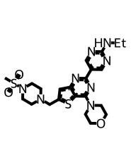 CCNc1ncc(-c2nc(N3CCOCC3)c3sc(CN4CCN(S(C)(=O)=O)CC4)cc3n2)cn1